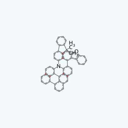 CC1(C)c2ccccc2-c2ccc(N(c3ccccc3-c3cccc4cccc(-c5ccccc5)c34)c3ccccc3-c3cccc4oc5ccccc5c34)cc21